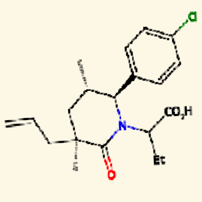 C=CC[C@@]1(C)C[C@H](C)[C@@H](c2ccc(Cl)cc2)N(C(CC)C(=O)O)C1=O